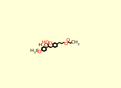 C=CC(=O)OCCCc1ccc2c(c1)OC(C)(O)C(c1ccc(OC)cc1)=C2